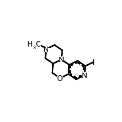 CN1CCN2c3cc(I)ncc3OCC2C1